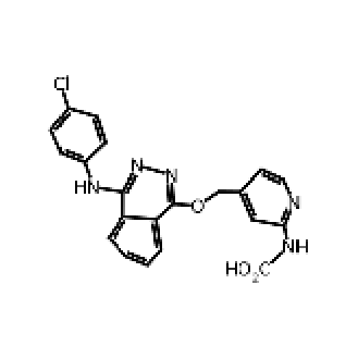 O=C(O)Nc1cc(COc2nnc(Nc3ccc(Cl)cc3)c3ccccc23)ccn1